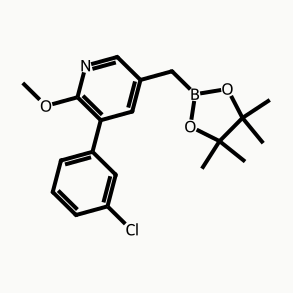 COc1ncc(CB2OC(C)(C)C(C)(C)O2)cc1-c1cccc(Cl)c1